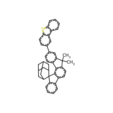 CC1(C)c2cc(-c3ccc4sc5ccccc5c4c3)ccc2-c2c1ccc1c2C2(c3ccccc3-1)C1CC3CC(C1)CC2C3